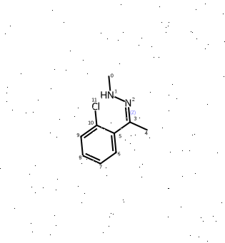 CN/N=C(/C)c1ccccc1Cl